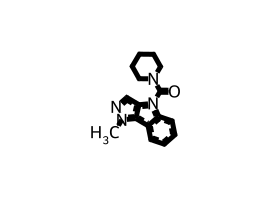 Cn1ncc2c1c1ccccc1n2C(=O)N1CCCCC1